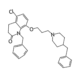 O=C1CCc2c(Cl)ccc(OCCCN3CCC(Cc4ccccc4)CC3)c2N1Cc1ccccc1